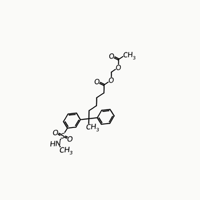 CNS(=O)(=O)c1cccc(C(C)(CCCCC(=O)OCOC(C)=O)c2ccccc2)c1